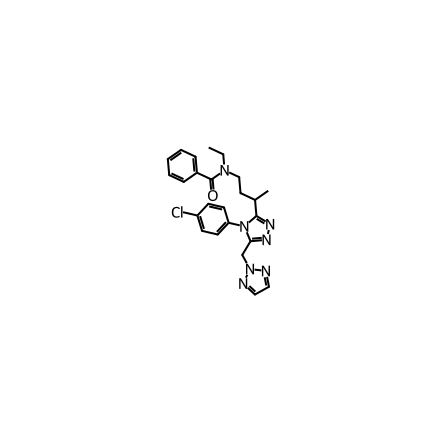 CCN(CCC(C)c1nnc(Cn2nccn2)n1-c1ccc(Cl)cc1)C(=O)c1ccccc1